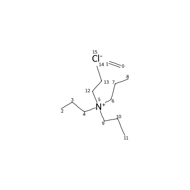 C=C.CCC[N+](CCC)(CCC)CCC.[Cl-]